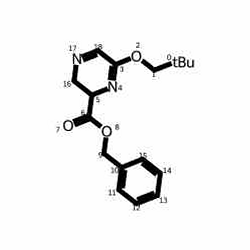 CC(C)(C)COC1=NC(C(=O)OCc2ccccc2)CN=C1